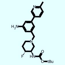 Cc1ccc(-c2cc(N)cc(CN3CC[C@@H](F)[C@H](NC(=O)OC(C)(C)C)C3)c2)cn1